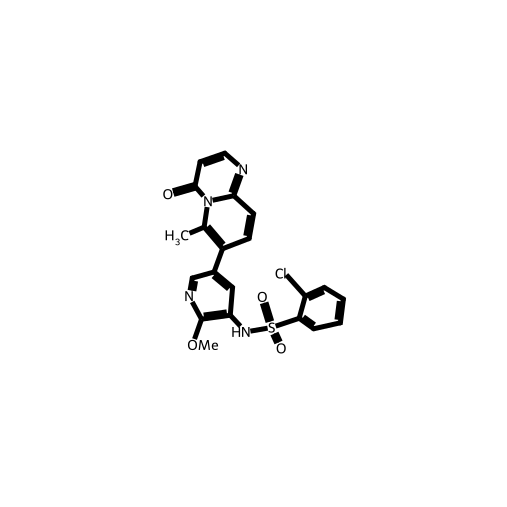 COc1ncc(-c2ccc3nccc(=O)n3c2C)cc1NS(=O)(=O)c1ccccc1Cl